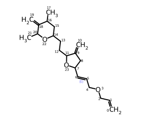 C=CCOC/C=C/C1CC(=C)C(CCC2CC(C)C(=C)C(C)O2)O1